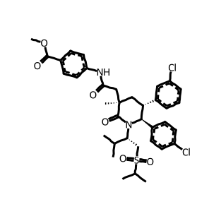 COC(=O)c1ccc(NC(=O)C[C@@]2(C)C[C@H](c3cccc(Cl)c3)[C@@H](c3ccc(Cl)cc3)N([C@H](CS(=O)(=O)C(C)C)C(C)C)C2=O)cc1